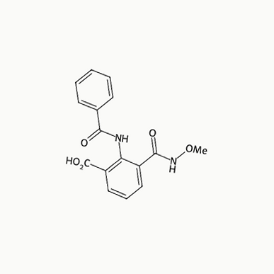 CONC(=O)c1cccc(C(=O)O)c1NC(=O)c1ccccc1